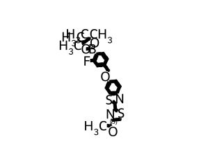 CC(=O)[C@H]1CSC(c2nc3ccc(OCc4ccc(B5OC(C)(C)C(C)(C)O5)c(F)c4)cc3s2)=N1